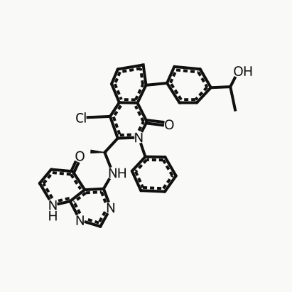 CC(O)c1ccc(-c2cccc3c(Cl)c([C@H](C)Nc4ncnc5[nH]ccc(=O)c45)n(-c4ccccc4)c(=O)c23)cc1